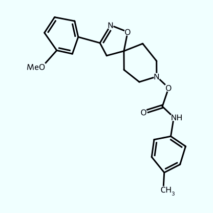 COc1cccc(C2=NOC3(CCN(OC(=O)Nc4ccc(C)cc4)CC3)C2)c1